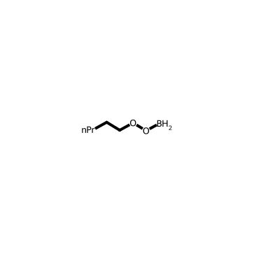 BOOCCCCC